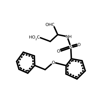 O=CC(CC(=O)O)NS(=O)(=O)c1ccccc1OCc1ccccc1